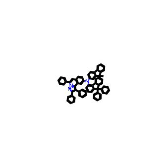 CC1(C)c2ccccc2-c2ccc(N(c3ccc4cc(-c5ccccc5)n5nc(-c6ccccc6)c(-c6ccccc6)c5c4c3)c3cccc4c3-c3ccccc3C4(c3ccccc3)c3ccccc3)cc21